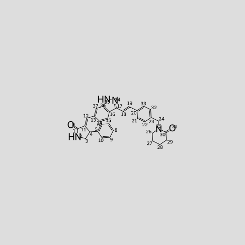 O=C1NCC(c2ccccc2)/C1=C\c1ccc2c(/C=C/c3ccc(CN4CCCCC4=O)cc3)n[nH]c2c1